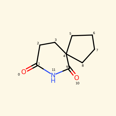 O=C1CCC2(CCCC2)C(=O)N1